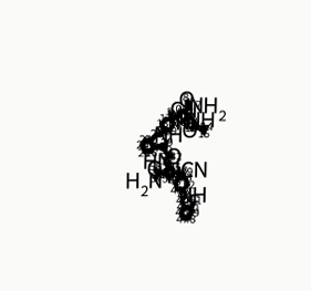 N#CCC1(n2cc(C(N)=O)c(NC(=O)C3CC3)n2)CCC(NCc2ccccc2C2CC2C(=O)Nc2nn(C3(CC#N)CCC(NCc4ccccc4F)CC3)cc2C(N)=O)CC1